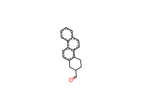 O=CC1CCc2c(ccc3c2ccc2ccccc23)C1